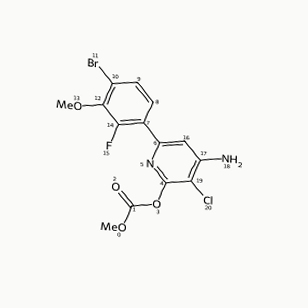 COC(=O)Oc1nc(-c2ccc(Br)c(OC)c2F)cc(N)c1Cl